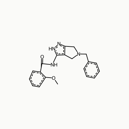 COc1ccccc1C(=O)Nc1[nH]nc2c1CN(Cc1ccccc1)C2